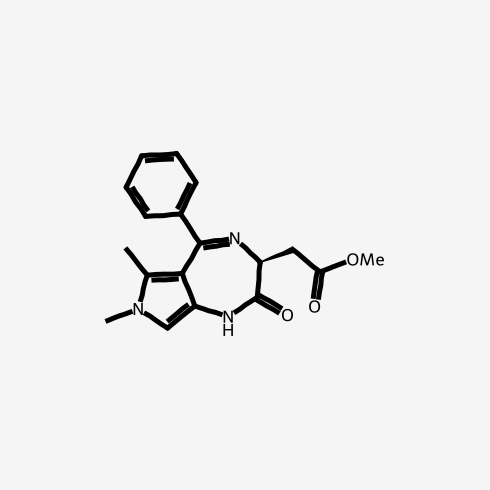 COC(=O)C[C@@H]1N=C(c2ccccc2)c2c(cn(C)c2C)NC1=O